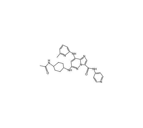 CC(=O)NC1CCC(Nc2cc(Nc3cccc(C)n3)c3ncc(C(=O)Nc4ccncc4)n3n2)CC1